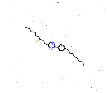 CCCCCCCCc1ccc(-c2ncc(CCC(F)CCCCCC)cn2)cc1